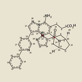 Nc1c(CCC(=O)O)c(C2C[C@H]3CC[C@@H](C2)N3C(=O)c2ccn[nH]2)nc2c(-c3ccc(-c4ccccc4)nc3)cnn12